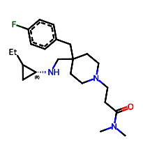 CCC1C[C@H]1NCC1(Cc2ccc(F)cc2)CCN(CCC(=O)N(C)C)CC1